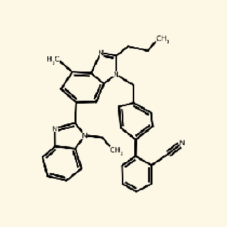 CCCc1nc2c(C)cc(-c3nc4ccccc4n3CC)cc2n1Cc1ccc(-c2ccccc2C#N)cc1